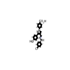 O=C(O)c1ccc(-n2cc(/C=N/Nc3ccc(Cl)cc3)c(-c3ccc(O)cc3)n2)cc1